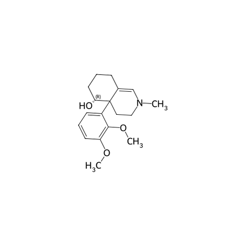 COc1cccc(C23CCN(C)C=C2CCC[C@H]3O)c1OC